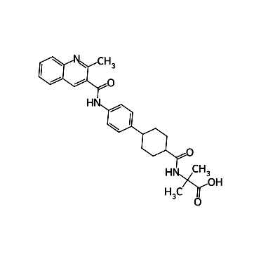 Cc1nc2ccccc2cc1C(=O)Nc1ccc(C2CCC(C(=O)NC(C)(C)C(=O)O)CC2)cc1